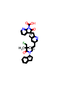 CC(C)(CF)C(=O)N(CC=Cc1cnc2c(c1)C[C@@]1(C2)C(=O)N(C(=O)O)c2ncccc21)[C@@H]1CCc2ccccc21